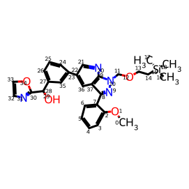 COc1ccccc1-c1nn(COCC[Si](C)(C)C)c2ncc(-c3cccc(C(O)c4ncco4)c3)cc12